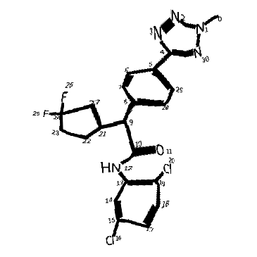 Cn1nnc(-c2ccc(C(C(=O)Nc3cc(Cl)ccc3Cl)C3CCC(F)(F)C3)cc2)n1